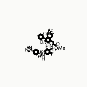 COC(=O)C(Cc1ccc(-c2c(OC)cccc2OC)c2c1CCN(C(C)=O)C2)NC(=O)c1c(F)cc(NS(=O)(=O)c2ccc(-n3cncn3)cc2)cc1F